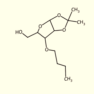 CCCCOC1C(CO)OC2OC(C)(C)OC21